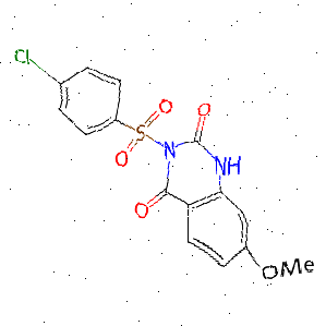 COc1ccc2c(=O)n(S(=O)(=O)c3ccc(Cl)cc3)c(=O)[nH]c2c1